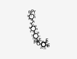 CCCC1CCC(CCC2=CCC(C3CCC(C(F)(F)Oc4ccc(F)c(F)c4)CC3)CC2)CC1